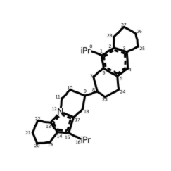 CC(C)c1c2c(cc3c1CC(C1CCn4c5c(c(C(C)C)c4C1)CCCC5)CC3)CCCC2